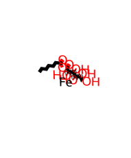 CCCCCCC(=O)OC(=O)[C@H](O)[C@@H](O)[C@H](O)[C@H](O)CO.[Fe]